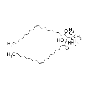 CCCCCCCC/C=C\CCCCCCCC(=O)C(C(C)(C)C)C(N)(O)C(=O)CCCCCCC/C=C\CCCCCCCC